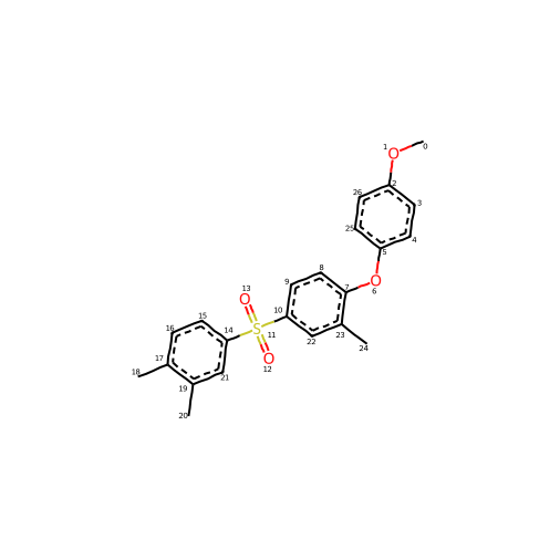 COc1ccc(Oc2ccc(S(=O)(=O)c3ccc(C)c(C)c3)cc2C)cc1